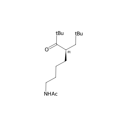 CC(=O)NCCCC[C@H](CC(C)(C)C)C(=O)C(C)(C)C